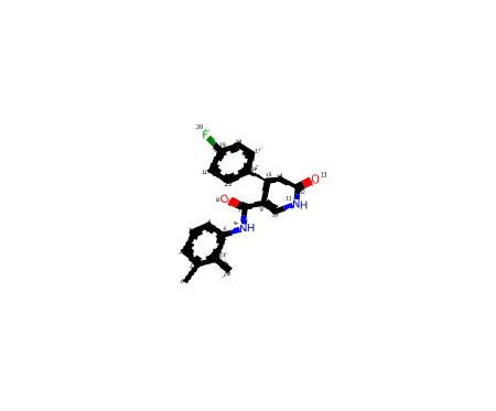 Cc1cccc(NC(=O)C2=CNC(=O)C[C@@H]2c2ccc(F)cc2)c1C